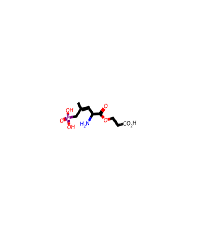 CC(=CC(N)C(=O)OCCC(=O)O)CP(=O)(O)O